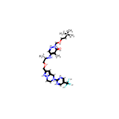 Cc1c(N[C@@H](C)COCc2cc3n(n2)CCN(c2ncc(C(F)(F)F)cn2)C3)cnn(COCC[Si](C)(C)C)c1=O